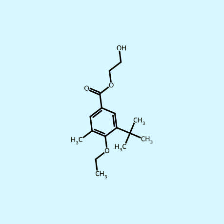 CCOc1c(C)cc(C(=O)OCCO)cc1C(C)(C)C